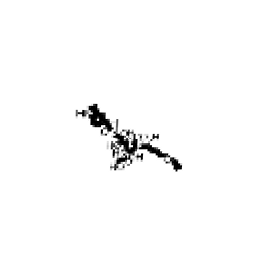 C#CCOCCCCCCO[C@]1(C(=O)O)C[C@H](O)[C@@H](NC(=O)CO)[C@H]([C@H](O)[C@H](O)CNC(=O)Cc2ccc3[nH]ccc3c2)O1